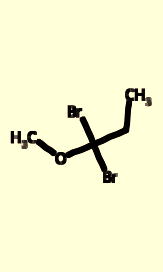 CCC(Br)(Br)OC